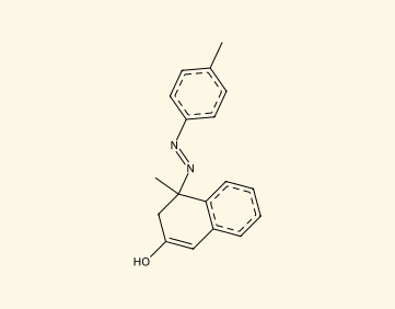 Cc1ccc(N=NC2(C)CC(O)=Cc3ccccc32)cc1